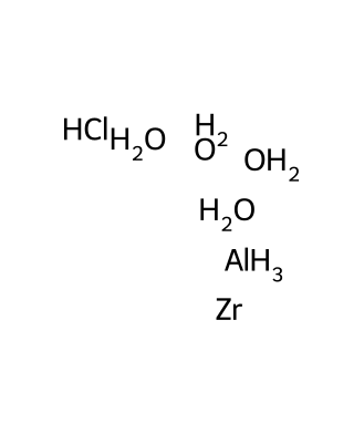 Cl.O.O.O.O.[AlH3].[Zr]